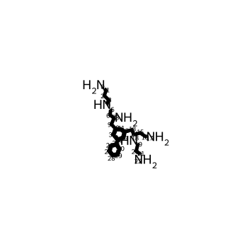 NCCCNCCC(N)Cc1cc(CC(CCN)NCCCN)cc(-c2ccccc2)c1